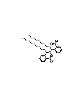 CCCCCCCCCCC(OC(CCCCCCCCCC)c1ccccc1[N+](=O)[O-])c1ccccc1[N+](=O)[O-]